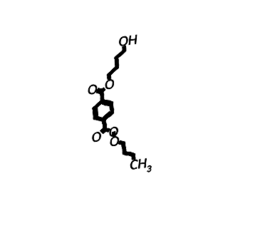 CCCCOOC(=O)c1ccc(C(=O)OCCCCO)cc1